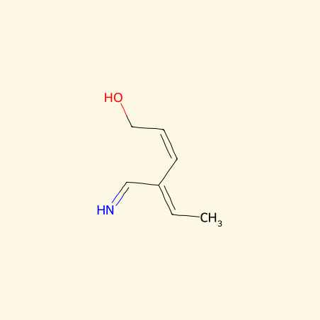 C/C=C(C=N)\C=C/CO